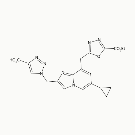 CCOC(=O)c1nnc(Cc2cc(C3CC3)cn3cc(Cn4cc(C(=O)O)nn4)nc23)o1